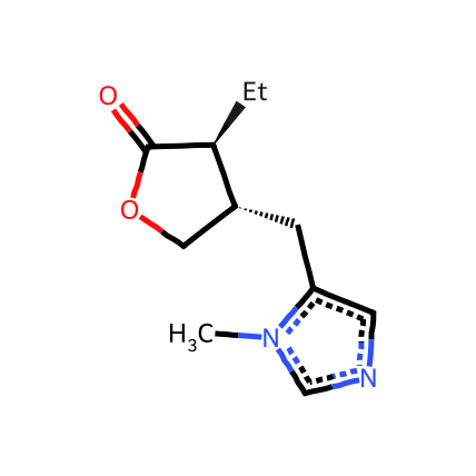 CC[C@@H]1C(=O)OC[C@H]1Cc1cncn1C